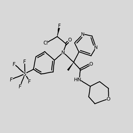 C[C@](C(=O)NC1CCOCC1)(c1cncnc1)N(C(=O)[C@H](F)Cl)c1ccc(S(F)(F)(F)(F)F)cc1